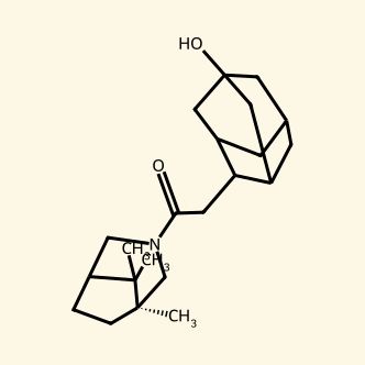 CC1(C)C2CC[C@]1(C)CN(C(=O)CC1C3CC4CC1CC(O)(C4)C3)C2